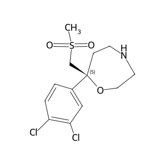 CS(=O)(=O)C[C@@]1(c2ccc(Cl)c(Cl)c2)CCNCCO1